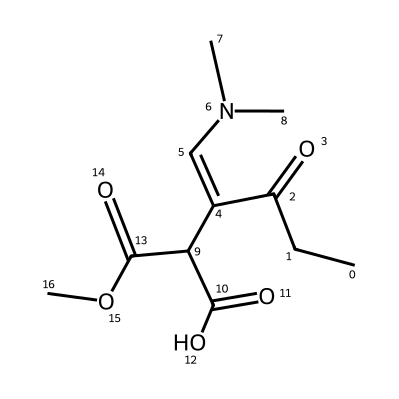 CCC(=O)/C(=C\N(C)C)C(C(=O)O)C(=O)OC